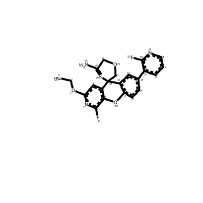 CC(C)(C)COc1cc2c(c(F)n1)Oc1ccc(-c3cccnc3F)cc1C21COCC(N)=N1